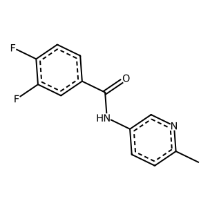 Cc1ccc(NC(=O)c2ccc(F)c(F)c2)cn1